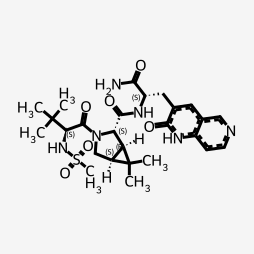 CC(C)(C)[C@H](NS(C)(=O)=O)C(=O)N1C[C@H]2[C@@H]([C@H]1C(=O)N[C@@H](Cc1cc3cnccc3[nH]c1=O)C(N)=O)C2(C)C